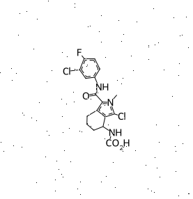 Cn1c(Cl)c2c(c1C(=O)Nc1ccc(F)c(Cl)c1)CCCC2NC(=O)O